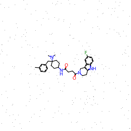 Cc1cccc(CC2(N(C)C)CCC(NC(=O)CCC(=O)N3CCc4[nH]c5ccc(F)cc5c4C3)CC2)c1